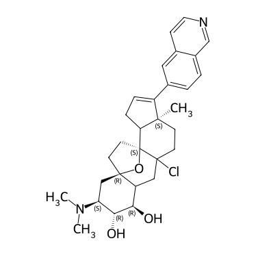 CN(C)[C@H]1C[C@@]23CC[C@]4(O2)C2CC=C(c5ccc6cnccc6c5)[C@@]2(C)CCC4(Cl)CC3[C@@H](O)[C@@H]1O